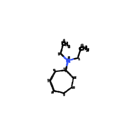 CCN(CC)[C]1CCCCCC1